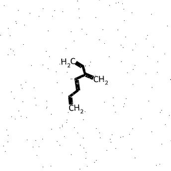 C=[C]C(=C)C=CC=C